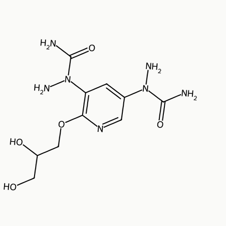 NC(=O)N(N)c1cnc(OCC(O)CO)c(N(N)C(N)=O)c1